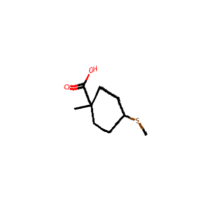 CSC1CCC(C)(C(=O)O)CC1